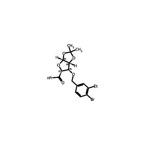 CCCC(=O)[C@H]1O[C@@H]2OC(C)(C)O[C@@H]2[C@H]1OCc1ccc(Br)c(CC)c1